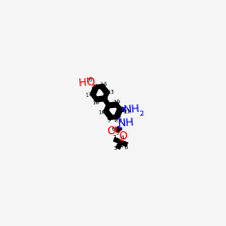 CC(C)(C)OC(=O)Nc1ccc(-c2ccc(O)cc2)cc1N